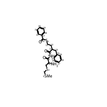 CSCSC[C@H](N)C(=O)NC(=O)C(CCSC(=O)c1ccccc1)Cc1ccccc1